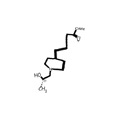 COC(=O)CCCC1CCN(C[C@H](C)O)CC1